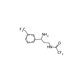 NC(CCNC(=O)C(F)(F)F)c1cccc(C(F)(F)F)c1